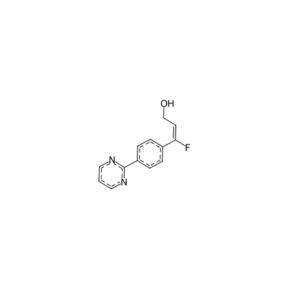 OC/C=C(/F)c1ccc(-c2ncccn2)cc1